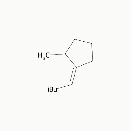 CCC(C)C=C1CCCC1C